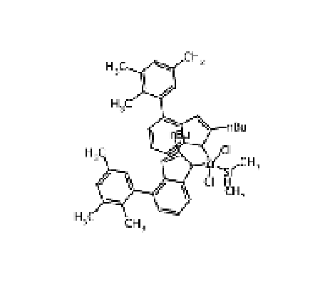 CCCCC1=Cc2c(-c3cc(C)cc(C)c3C)cccc2[CH]1[Zr]([Cl])([Cl])([CH]1C(CCCC)=Cc2c(-c3cc(C)cc(C)c3C)cccc21)[SiH](C)C